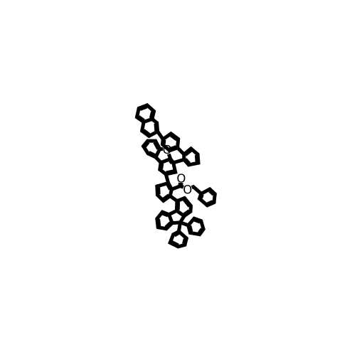 O=C(OCc1ccccc1)c1c(-c2cc(-c3ccccc3-c3ccc(-c4ccc5ccccc5c4)cc3)c3oc4ccccc4c3c2)cccc1-c1cccc2c1-c1ccccc1C2(c1ccccc1)c1ccccc1